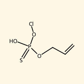 C=CCOP(O)(=S)OCl